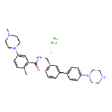 Cc1ccc(N2CCN(C)CC2)cc1C(=O)N[C@H](C)c1cccc(-c2ccc(N3CCNCC3)cc2)c1.Cl.Cl